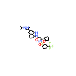 CC(C)NCC(C)c1ccc2c(c1)CCC[C@H]2NC(=O)C[C@@H](NS(=O)(=O)c1cccc(C(F)(F)F)c1)c1ccccc1